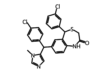 Cn1cncc1C(c1ccc(Cl)cc1)c1ccc2c(c1)C(c1cccc(Cl)c1)SCC(=O)N2